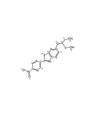 O=[N+]([O-])c1ccc(-c2nc3ccc(OC(CO)CO)cc3s2)cc1